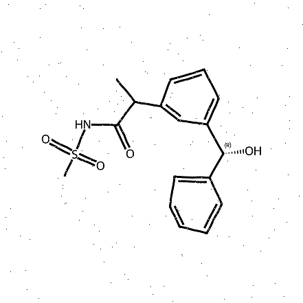 CC(C(=O)NS(C)(=O)=O)c1cccc([C@H](O)c2ccccc2)c1